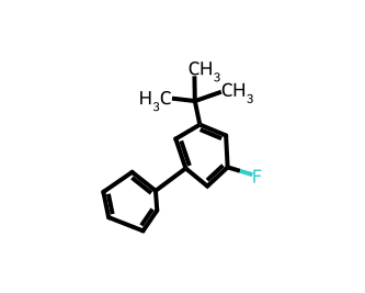 CC(C)(C)c1cc(F)cc(-c2ccccc2)c1